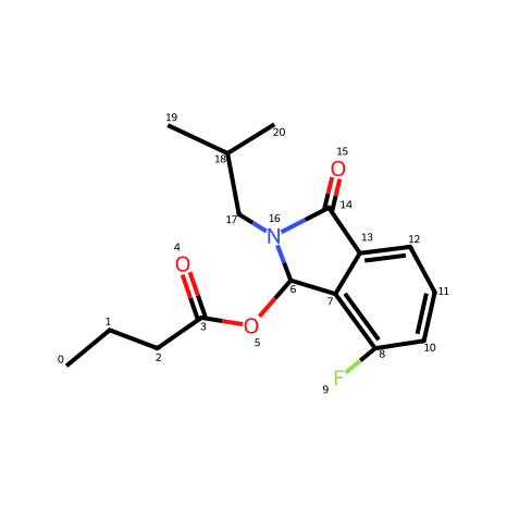 CCCC(=O)OC1c2c(F)cccc2C(=O)N1CC(C)C